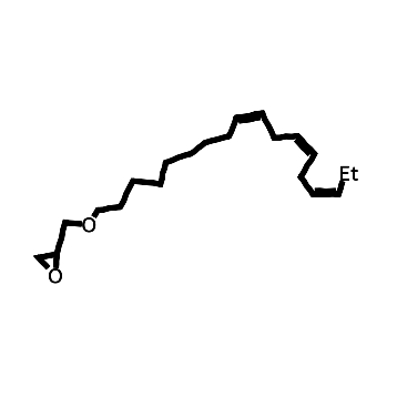 CC/C=C\C/C=C\C/C=C\CCCCCCCCOCC1CO1